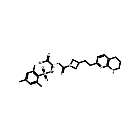 Cc1cc(C)c(S(=O)(=O)N[C@@H](CC(=O)N2CC(CCc3ccc4c(n3)NCCC4)C2)C(=O)O)c(C)c1